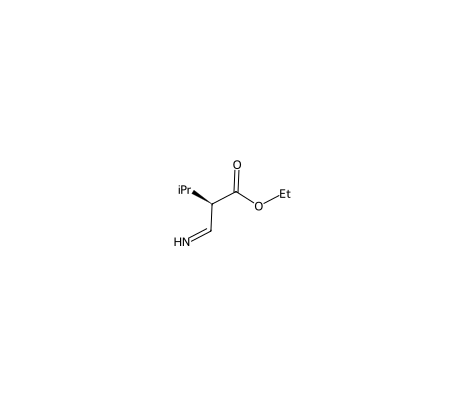 CCOC(=O)[C@@H](C=N)C(C)C